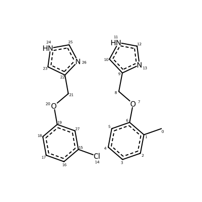 Cc1ccccc1OCc1c[nH]cn1.Clc1cccc(OCc2c[nH]cn2)c1